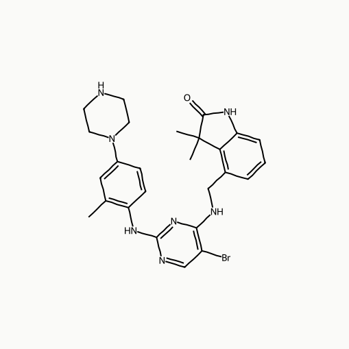 Cc1cc(N2CCNCC2)ccc1Nc1ncc(Br)c(NCc2cccc3c2C(C)(C)C(=O)N3)n1